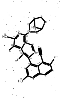 C#Cc1c(F)ccc2cc(O)cc(-c3ncc4c(N5CC6CCC(C5)N6)nc(C#N)c(C)c4c3F)c12